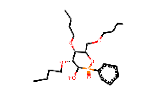 CCCCOC[C@H]1OP(=O)(c2ccccc2)C(O)[C@H](OCCCC)[C@H]1OCCCC